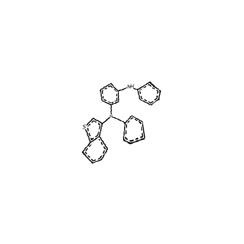 c1ccc(Nc2cccc(N(c3ccccc3)c3csc4ccccc34)c2)cc1